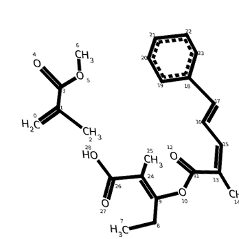 C=C(C)C(=O)OC.CCC(OC(=O)C(C)=CC=Cc1ccccc1)=C(C)C(=O)O